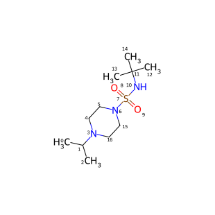 CC(C)N1CCN(S(=O)(=O)NC(C)(C)C)CC1